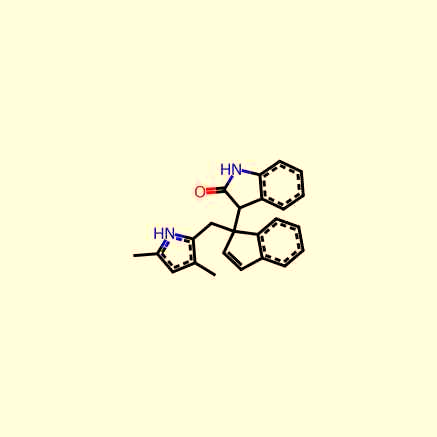 Cc1cc(C)c(CC2(C3C(=O)Nc4ccccc43)C=Cc3ccccc32)[nH]1